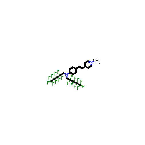 C[n+]1ccc(C=Cc2ccc(N(CC(F)(F)C(F)(F)C(F)(F)C(F)(F)F)CC(F)(F)C(F)(F)C(F)(F)C(F)(F)F)cc2)cc1